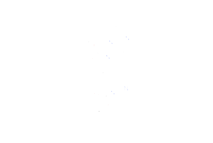 CC(C)(C)OC(=O)Nc1ccc(N(C(=O)OC(C)(C)C)c2ccnc(Cl)n2)cc1C=N